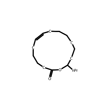 CCCC1CCCCCCC=CCCCCC(=O)O1